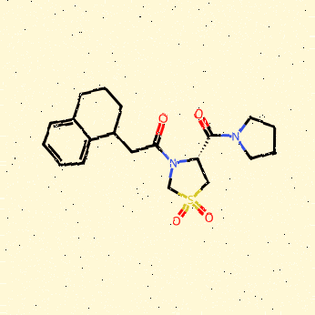 O=C([C@@H]1CS(=O)(=O)CN1C(=O)CC1CCCc2ccccc21)N1CCCC1